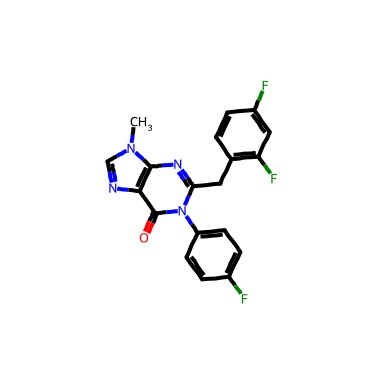 Cn1cnc2c(=O)n(-c3ccc(F)cc3)c(Cc3ccc(F)cc3F)nc21